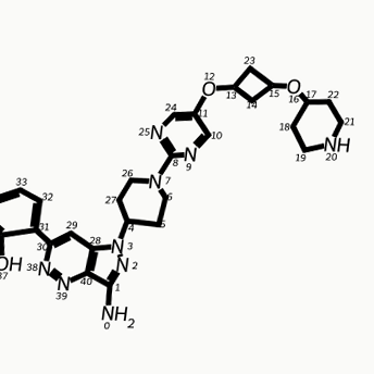 Nc1nn(C2CCN(c3ncc(OC4CC(OC5CCNCC5)C4)cn3)CC2)c2cc(-c3ccccc3O)nnc12